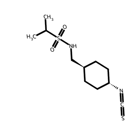 CC(C)S(=O)(=O)NC[C@H]1CC[C@H](N=C=S)CC1